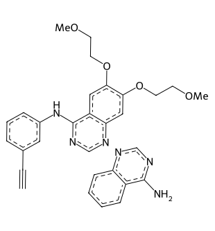 C#Cc1cccc(Nc2ncnc3cc(OCCOC)c(OCCOC)cc23)c1.Nc1ncnc2ccccc12